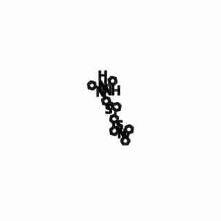 c1ccc(C2=NC(c3ccc4sc5c(-c6ccc7c(c6)sc6c(-n8c9ccccc9c9ccccc98)cccc67)cccc5c4c3)NC(c3ccccc3)N2)cc1